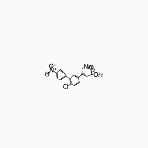 NC[C@H](CC(=O)O)c1ccc(Cl)c(-c2ccc([N+](=O)[O-])cc2)c1